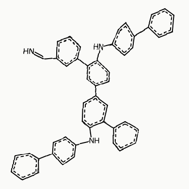 N=Cc1cccc(-c2cc(-c3ccc(Nc4ccc(-c5ccccc5)cc4)c(-c4ccccc4)c3)ccc2Nc2ccc(-c3ccccc3)cc2)c1